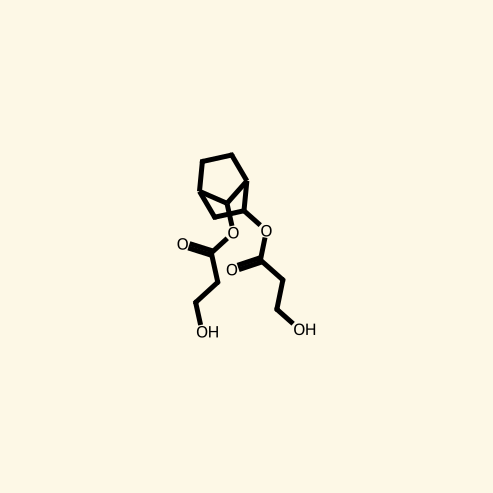 O=C(CCO)OC1CC2CCC1C2OC(=O)CCO